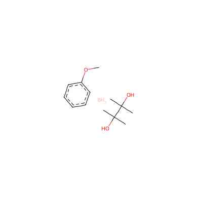 B.CC(C)(O)C(C)(C)O.COc1ccccc1